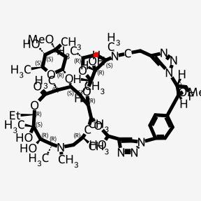 CC[C@H]1OC(=O)[C@H](C)[C@@H](O[C@H]2C[C@@](C)(OC)[C@@H](O)[C@H](C)O2)[C@H](C)[C@H]2O[C@@H]3O[C@H](C)C[C@@H]([C@H]3O)N(C)CCc3cn(nn3)[C@H](CF)[C@H](OC)c3ccc(cc3)-n3cc(nn3)C(O)O[C@]2(C)C[C@@H](C)CN(C)[C@H](C)[C@@H](O)[C@]1(C)O